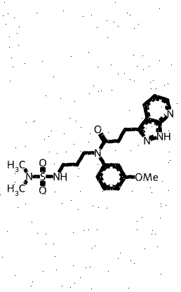 COc1cccc(N(CCCNS(=O)(=O)N(C)C)C(=O)CCc2n[nH]c3ncccc23)c1